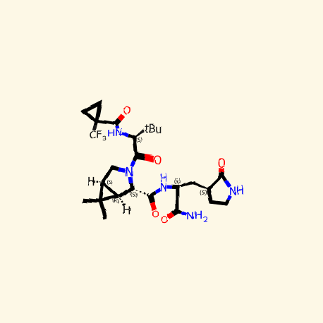 CC(C)(C)[C@H](NC(=O)C1(C(F)(F)F)CC1)C(=O)N1C[C@H]2[C@@H]([C@H]1C(=O)N[C@@H](C[C@@H]1CCNC1=O)C(N)=O)C2(C)C